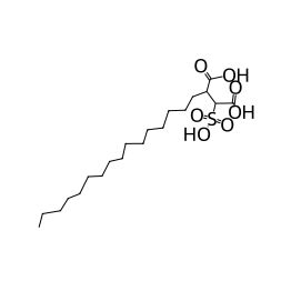 CCCCCCCCCCCCCCCCC(C(=O)O)C(C(=O)O)S(=O)(=O)O